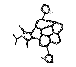 CC(C)n1c(=O)c2c3cc(-c4ccc[se]4)c4ccc5ccc6c(-c7ccc[se]7)cc(c2c1=O)c1c6c5c4c31